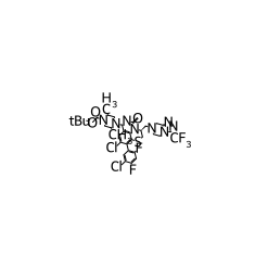 C[C@H]1CN(c2nc(=O)n3c4c(c(-c5cc(Cl)c(F)cc5F)c(Cl)cc24)SC[C@@H]3CN2CCn3c(nnc3C(F)(F)F)C2)[C@@H](C)CN1C(=O)OC(C)(C)C